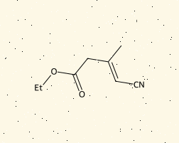 CCOC(=O)CC(C)=CC#N